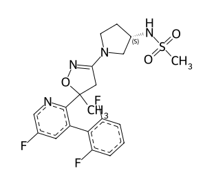 CC1(c2ncc(F)cc2-c2c(F)cccc2F)CC(N2CC[C@H](NS(C)(=O)=O)C2)=NO1